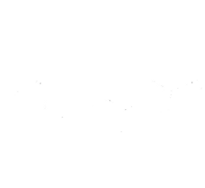 O=C(O)NS(=O)(=O)c1cc(NC(=O)c2ccc(C(F)(F)F)nc2Cl)ccn1